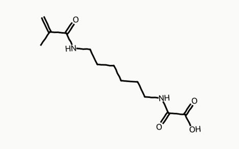 C=C(C)C(=O)NCCCCCCNC(=O)C(=O)O